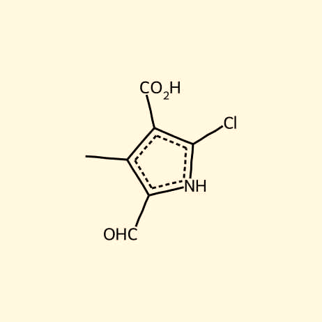 Cc1c(C=O)[nH]c(Cl)c1C(=O)O